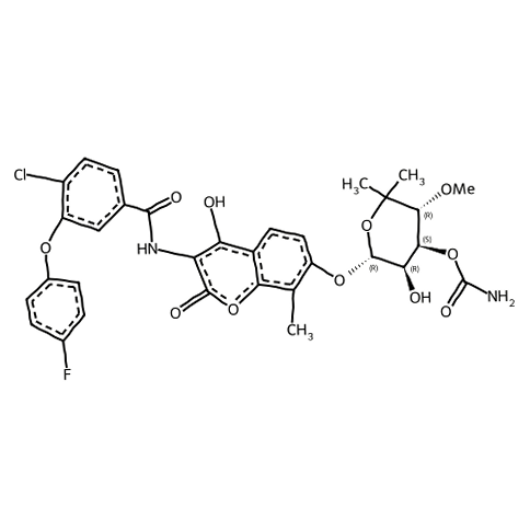 CO[C@@H]1[C@@H](OC(N)=O)[C@@H](O)[C@H](Oc2ccc3c(O)c(NC(=O)c4ccc(Cl)c(Oc5ccc(F)cc5)c4)c(=O)oc3c2C)OC1(C)C